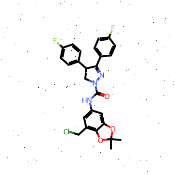 CC1(C)Oc2cc(NC(=O)N3CC(c4ccc(F)cc4)C(c4ccc(F)cc4)=N3)cc(CCl)c2O1